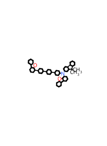 CC1(C)c2ccccc2-c2ccc(N(c3ccc(-c4ccc(-c5ccc(-c6cccc7c6oc6ccccc67)cc5)cc4)cc3)c3cccc4c3oc3ccccc34)cc21